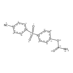 N#Cc1ccc(S(=O)(=O)c2ccc(OC(N)=O)cc2)cc1